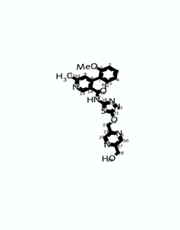 COc1cccc(F)c1-c1cc(C)ncc1C(=O)Nc1nnc(OCc2cnc(CO)cn2)s1